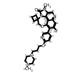 CN1CCN(CCCOc2ccc(-c3c(F)cc4ncc5c6c4c3OCC3(CCC3)n6c(=O)n5C)cn2)CC1